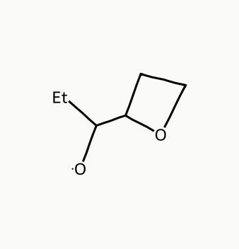 CCC([O])C1CCO1